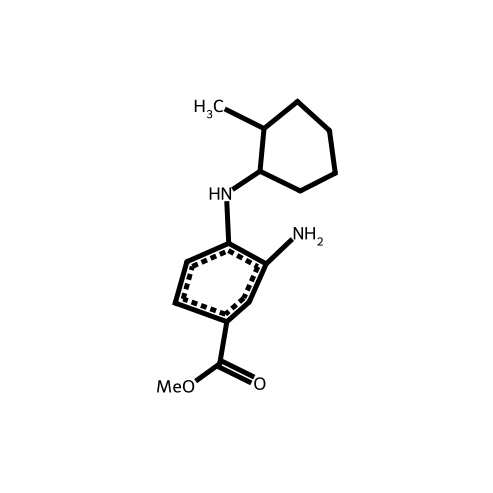 COC(=O)c1ccc(NC2CCCCC2C)c(N)c1